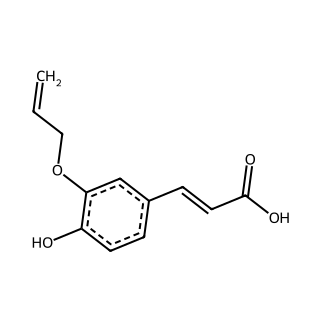 C=CCOc1cc(C=CC(=O)O)ccc1O